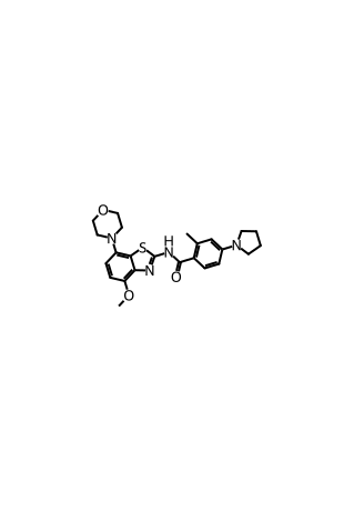 COc1ccc(N2CCOCC2)c2sc(NC(=O)c3ccc(N4CCCC4)cc3C)nc12